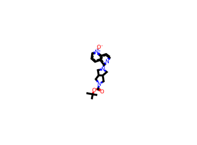 CC(C)(C)OC(=O)N1CC2CN(c3nccc4c3ccc[n+]4[O-])CC2C1